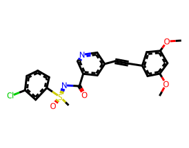 COc1cc(C#Cc2cncc(C(=O)N=S(C)(=O)c3cccc(Cl)c3)c2)cc(OC)c1